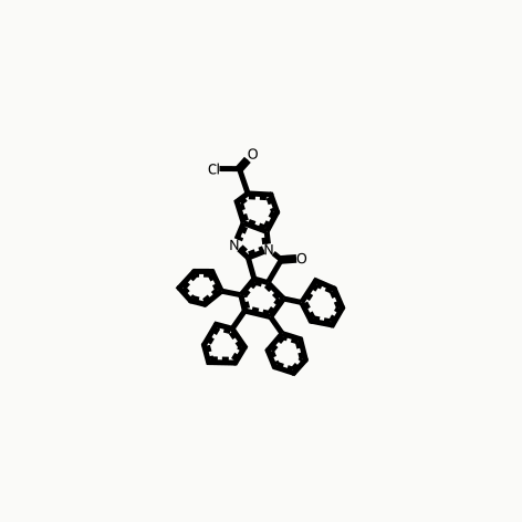 O=C(Cl)c1ccc2c(c1)nc1n2C(=O)c2c(-c3ccccc3)c(-c3ccccc3)c(-c3ccccc3)c(-c3ccccc3)c2-1